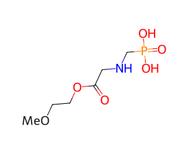 COCCOC(=O)CNCP(=O)(O)O